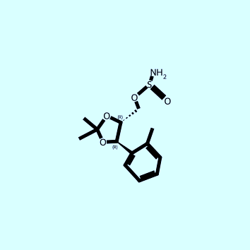 Cc1ccccc1[C@H]1OC(C)(C)O[C@@H]1COS(N)=O